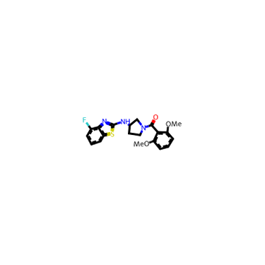 COc1cccc(OC)c1C(=O)N1CCC(Nc2nc3c(F)cccc3s2)C1